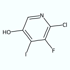 Oc1cnc(Cl)c(F)c1I